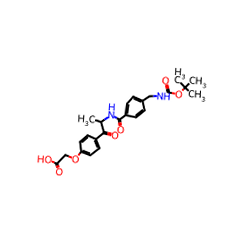 CC(NC(=O)c1ccc(CNC(=O)OC(C)(C)C)cc1)C(=O)c1ccc(OCC(=O)O)cc1